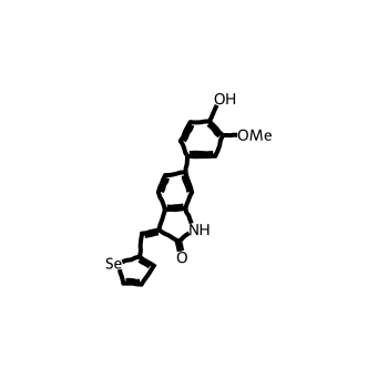 COc1cc(-c2ccc3c(c2)NC(=O)/C3=C\c2ccc[se]2)ccc1O